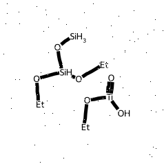 CCO[SiH](O[SiH3])OCC.CC[O][Ti](=[O])[OH]